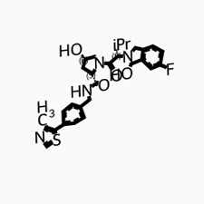 Cc1ncsc1-c1ccc(CNC(=O)[C@@H]2C[C@@H](O)CN2C(=O)[C@H](C(C)C)N2Cc3ccc(F)cc3C2O)cc1